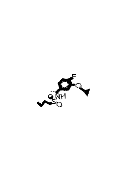 C=CCCS(=O)(=O)N[C@H](C)c1ccc(F)c(OCC2CC2)c1